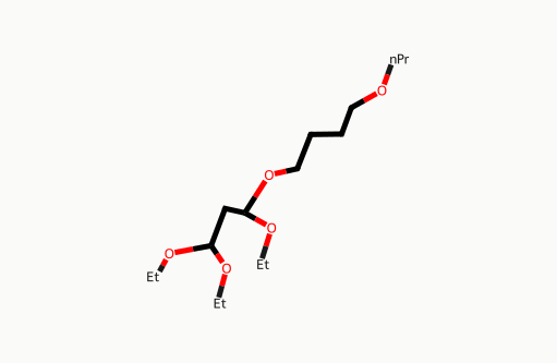 CCCOCCCCOC(CC(OCC)OCC)OCC